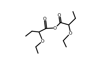 CCOC(CC)C(=O)OC(=O)C(CC)OCC